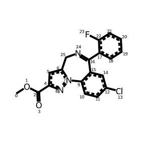 COC(=O)c1cc2n(n1)-c1ccc(Cl)cc1C(c1ccccc1F)=NC2